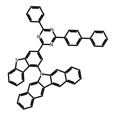 c1ccc(-c2ccc(-c3nc(-c4ccccc4)nc(-c4cc(-n5c6cc7ccccc7cc6c6cc7ccccc7cc65)c5c(c4)sc4ccccc45)n3)cc2)cc1